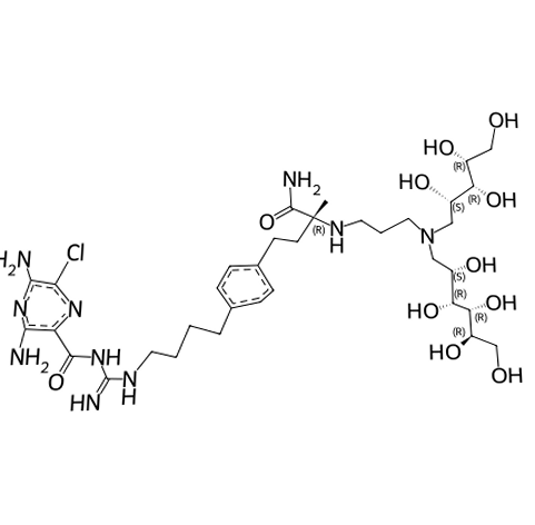 C[C@](CCc1ccc(CCCCNC(=N)NC(=O)c2nc(Cl)c(N)nc2N)cc1)(NCCCN(C[C@H](O)[C@@H](O)[C@H](O)[C@H](O)CO)C[C@H](O)[C@@H](O)[C@H](O)CO)C(N)=O